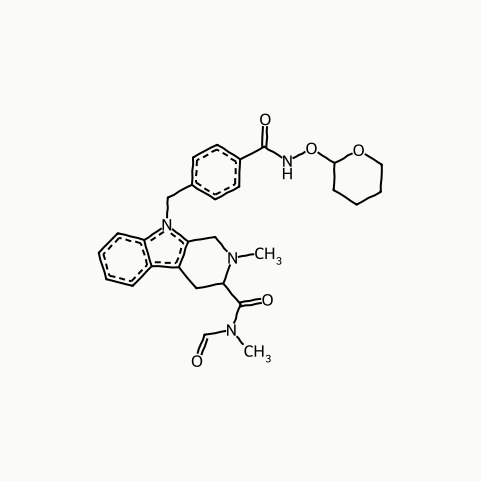 CN(C=O)C(=O)C1Cc2c(n(Cc3ccc(C(=O)NOC4CCCCO4)cc3)c3ccccc23)CN1C